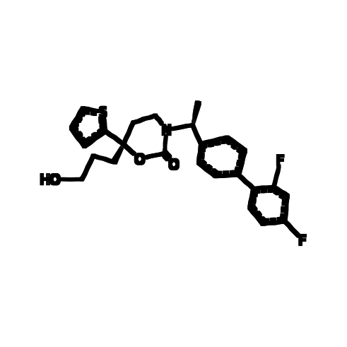 C[C@@H](c1ccc(-c2ccc(F)cc2F)cc1)N1CC[C@@](CCCO)(c2cccs2)OC1=O